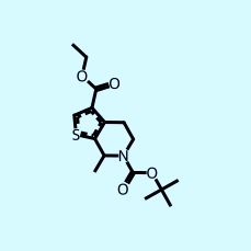 CCOC(=O)c1csc2c1CCN(C(=O)OC(C)(C)C)C2C